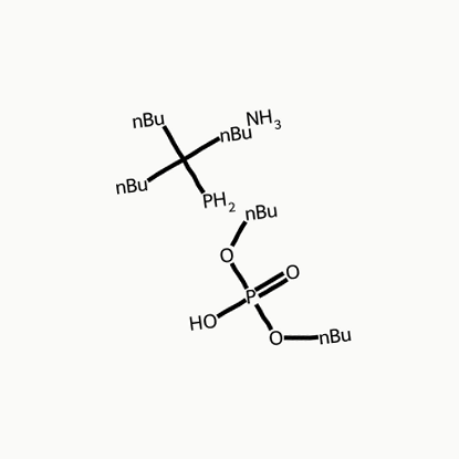 CCCCC(P)(CCCC)CCCC.CCCCOP(=O)(O)OCCCC.N